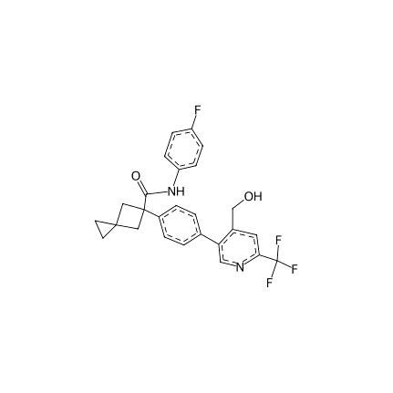 O=C(Nc1ccc(F)cc1)C1(c2ccc(-c3cnc(C(F)(F)F)cc3CO)cc2)CC2(CC2)C1